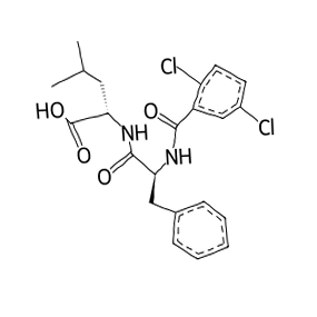 CC(C)C[C@H](NC(=O)[C@H](Cc1ccccc1)NC(=O)c1cc(Cl)ccc1Cl)C(=O)O